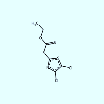 CCOC(=S)Sc1nc(Cl)c(Cl)s1